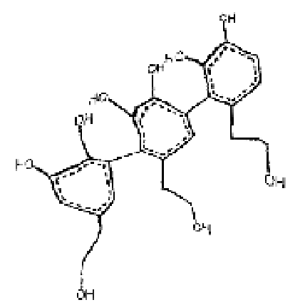 OCCc1cc(O)c(O)c(-c2c(CCO)cc(-c3c(CCO)ccc(O)c3O)c(O)c2O)c1